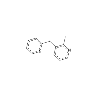 Cc1ncccc1[CH]c1ccccn1